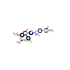 COc1cc2c(cc1OC(C)C)C(c1ccc(Cl)cc1)N(c1ccc(N(C)C[C@H]3CC[C@@H](N4CCN(C)C(=O)C4)CC3)nc1)C(=O)C2